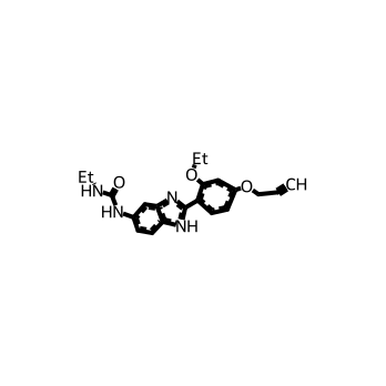 C#CCOc1ccc(-c2nc3cc(NC(=O)NCC)ccc3[nH]2)c(OCC)c1